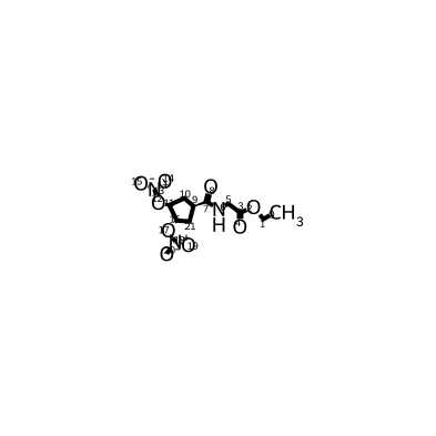 CCOC(=O)CNC(=O)[C@@H]1C[C@H](O[N+](=O)[O-])[C@H](O[N+](=O)[O-])C1